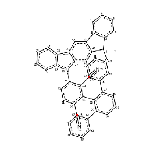 CC1(C)c2ccccc2-c2cc3c4ccccc4n(-c4ccc(C#N)c(-c5c(-c6ccccc6)cccc5-c5ccccc5)c4C#N)c3cc21